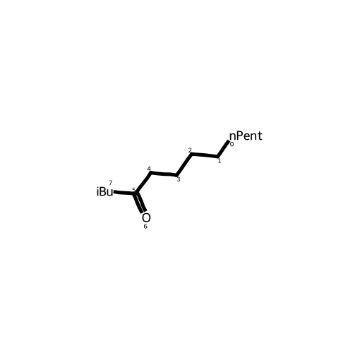 CCCCCCCCCC(=O)C(C)CC